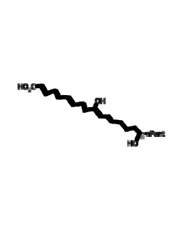 CCCCC[C@H](O)CCCC=CC=C(O)C=CC=CC=CC=CC(=O)O